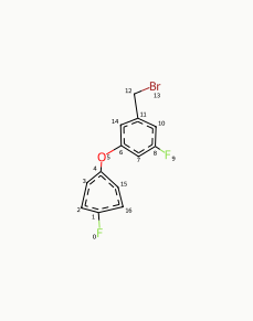 Fc1ccc(Oc2cc(F)cc(CBr)c2)cc1